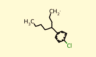 [CH2]CCC(CCCC)c1ccc(Cl)cc1